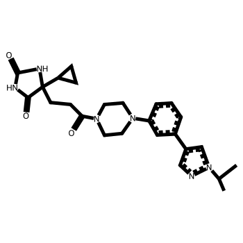 CC(C)n1cc(-c2cccc(N3CCN(C(=O)CCC4(C5CC5)NC(=O)NC4=O)CC3)c2)cn1